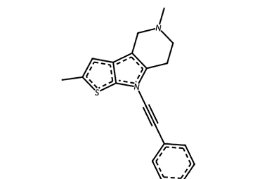 Cc1cc2c3c(n(C#Cc4ccccc4)c2s1)CCN(C)C3